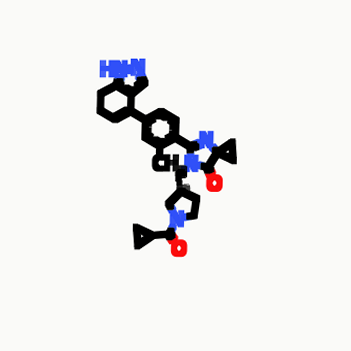 Cc1cc(C2=CCCc3[nH]ncc32)ccc1C1=NC2(CC2)C(=O)N1C[C@@H]1CCN(C(=O)C2CC2)C1